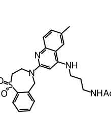 CC(=O)NCCCNc1cc(N2CCS(=O)(=O)c3ccccc3C2)nc2ccc(C)cc12